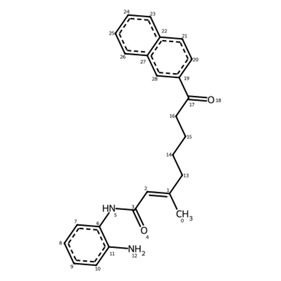 CC(=CC(=O)Nc1ccccc1N)CCCCC(=O)c1ccc2ccccc2c1